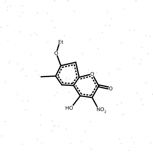 CCOc1cc2oc(=O)c([N+](=O)[O-])c(O)c2cc1C